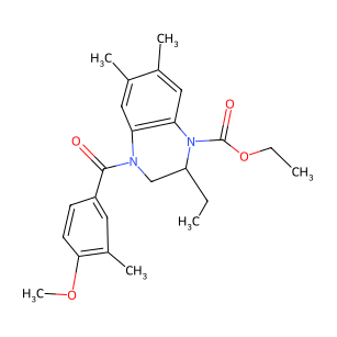 CCOC(=O)N1c2cc(C)c(C)cc2N(C(=O)c2ccc(OC)c(C)c2)CC1CC